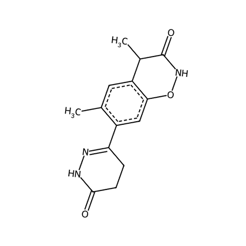 Cc1cc2c(cc1C1=NNC(=O)CC1)ONC(=O)C2C